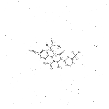 CC1=C(C(N)=O)C(c2ccc(C#N)cc2S(=O)(=O)C(C)C)NC(=O)N1c1cccc(C(F)(F)F)c1